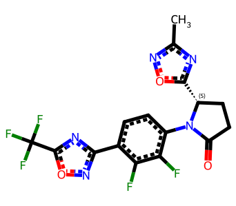 Cc1noc([C@@H]2CCC(=O)N2c2ccc(-c3noc(C(F)(F)F)n3)c(F)c2F)n1